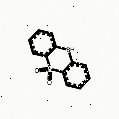 O=S1(=O)c2ccccc2Bc2ccccc21